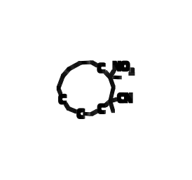 CC1(C#N)CCCCCCCCCCCC(C)([N+](=O)[O-])C1